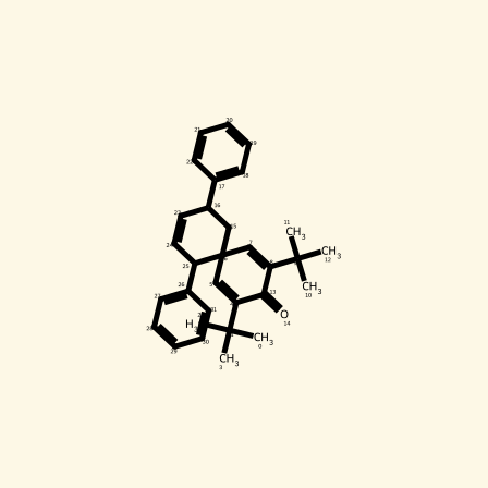 CC(C)(C)C1=CC2(C=C(C(C)(C)C)C1=O)CC(c1ccccc1)C=CC2c1ccccc1